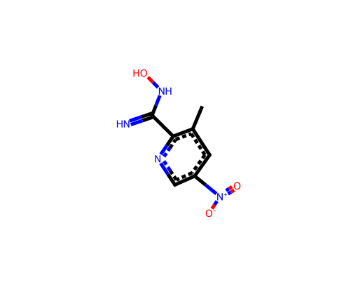 Cc1cc([N+](=O)[O-])cnc1C(=N)NO